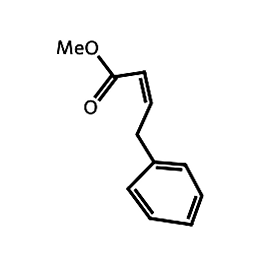 COC(=O)/C=C\Cc1ccccc1